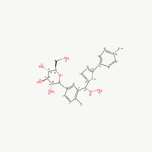 Cc1ccc(C2O[C@H](CO)[C@@H](O)[C@H](O)[C@H]2O)cc1C(OO)c1ccc(-c2ccc(F)cc2)s1